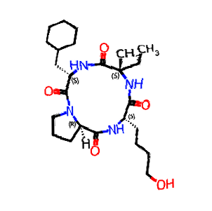 CC[C@]1(C)NC(=O)[C@H](CCCCO)NC(=O)[C@H]2CCCN2C(=O)[C@H](CC2CCCCC2)NC1=O